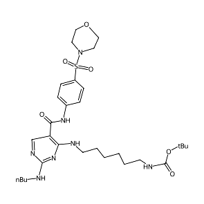 CCCCNc1ncc(C(=O)Nc2ccc(S(=O)(=O)N3CCOCC3)cc2)c(NCCCCCCNC(=O)OC(C)(C)C)n1